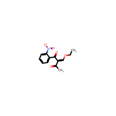 CCO/C=C(/C(C)=O)C(=O)c1ccccc1[N+](=O)[O-]